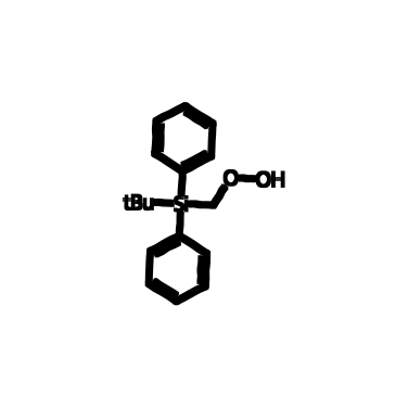 CC(C)(C)[Si](COO)(c1ccccc1)c1ccccc1